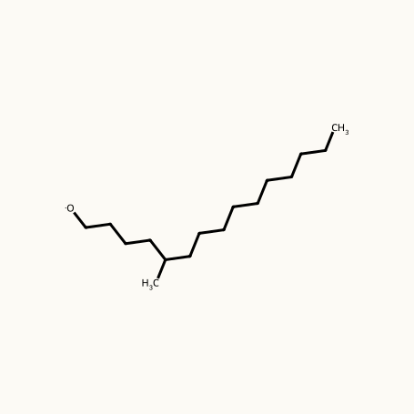 CCCCCCCCCCC(C)CCCC[O]